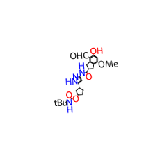 COc1cc(O)c(C=O)c2c1C[C@@H](C(=O)Nc1cc([C@H]3CC[C@@H](OC(=O)NC(C)(C)C)C3)[nH]n1)C2